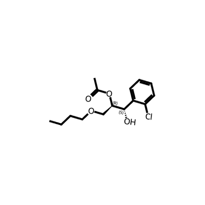 CCCCOC[C@@H](OC(C)=O)[C@@H](O)c1ccccc1Cl